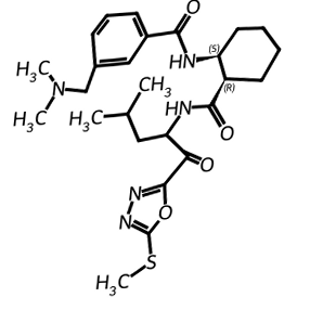 CSc1nnc(C(=O)C(CC(C)C)NC(=O)[C@@H]2CCCC[C@@H]2NC(=O)c2cccc(CN(C)C)c2)o1